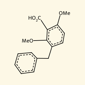 COc1ccc(Cc2ccccc2)c(OC)c1C(=O)O